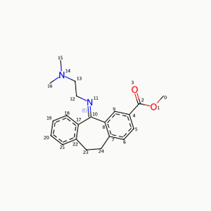 COC(=O)c1ccc2c(c1)/C(=N/CCN(C)C)c1ccccc1CC2